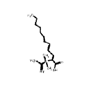 CCCCCCCCCCC(C(=O)O)[N+](C)(C)C(=N)N